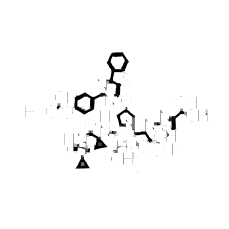 C=C[C@@H]1C[C@]1(NC(=O)[C@@H]1C[C@@H](Oc2nc(-c3ccc(OC(C)C)cc3)nc3c2sc2ccccc23)CN1C(=O)[C@@H](Nc1nc(C(C)C)cs1)C(C)(C)C)C(=O)NS(=O)(=O)C1CC1